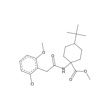 COC(=O)C1(NC(=O)Cc2c(Cl)cccc2OC)CCC(C(C)(C)C)CC1